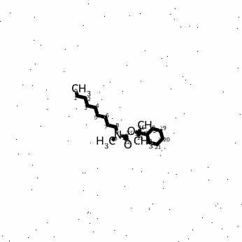 CCCCCCCCCN(C)C(=O)OC(C)(C)C1CCCCC1